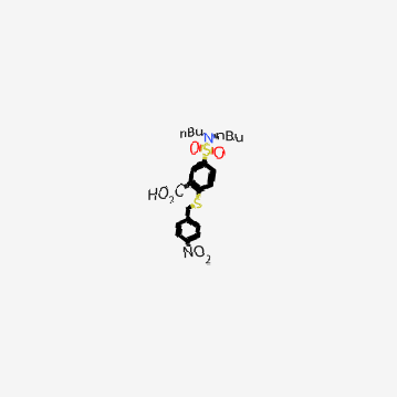 CCCCN(CCCC)S(=O)(=O)c1ccc(SCc2ccc([N+](=O)[O-])cc2)c(C(=O)O)c1